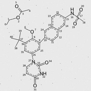 CCOC(C)=O.COc1c(-c2ccc3cc(NS(C)(=O)=O)ccc3c2)cc(-n2ccc(=O)[nH]c2=O)cc1C(C)(C)C